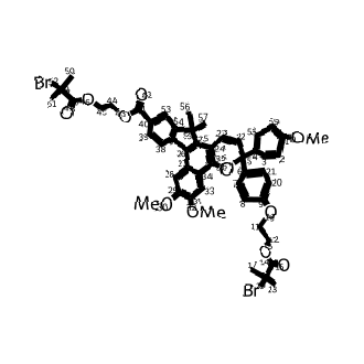 COc1ccc(C2(c3ccc(OCCOC(=O)C(C)(C)Br)cc3)C=Cc3c4c(c5cc(OC)c(OC)cc5c3O2)-c2ccc(C(=O)OCCOC(=O)C(C)(C)Br)cc2C4(C)C)cc1